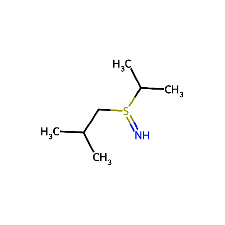 CC(C)CS(=N)C(C)C